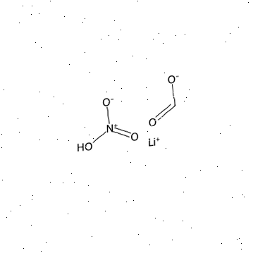 O=C[O-].O=[N+]([O-])O.[Li+]